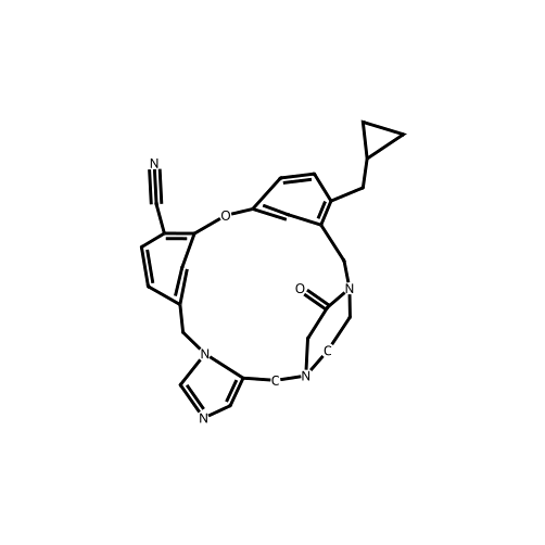 N#Cc1ccc2cc1Oc1ccc(CC3CC3)c(c1)CN1CCN(CC1=O)Cc1cncn1C2